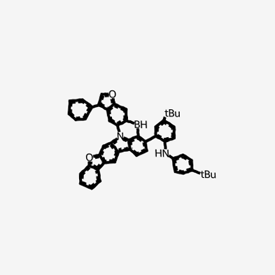 CC(C)(C)c1ccc(Nc2ccc(C(C)(C)C)cc2-c2ccc3c4cc5c(cc4n4c3c2Bc2cc3occ(-c6ccccc6)c3cc2-4)oc2ccccc25)cc1